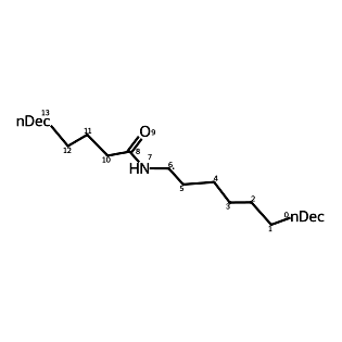 CCCCCCCCCCCCCCC[CH]NC(=O)CCCCCCCCCCCCC